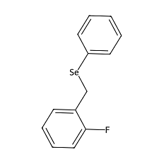 Fc1ccccc1C[Se]c1ccccc1